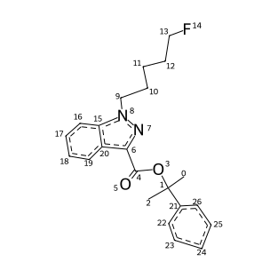 CC(C)(OC(=O)c1nn(CCCCCF)c2ccccc12)c1ccccc1